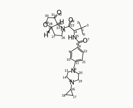 CC(C)(C)C(NC(=O)c1ccc(N2CCN(C3CC3)CC2)cc1)C(=O)N1CC[C@@H]2OCC(=O)[C@H]21